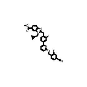 COC(=O)c1ccc2nc(Cc3ccc(-c4cccc(OCc5ccc(C#N)cc5F)n4)cc3F)n(CC3CC3)c2c1